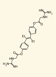 CC/C(=C(/CC)c1ccc(OC(=O)CNC(=N)N)cc1)c1ccc(OC(=O)CNC(=N)N)cc1